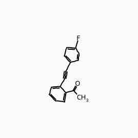 CC(=O)c1ccccc1C#Cc1ccc(F)cc1